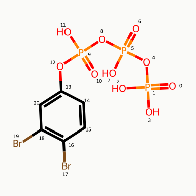 O=P(O)(O)OP(=O)(O)OP(=O)(O)Oc1ccc(Br)c(Br)c1